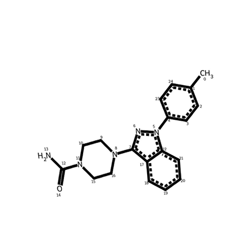 Cc1ccc(-n2nc(N3CCN(C(N)=O)CC3)c3ccccc32)cc1